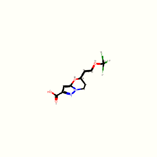 O=C(O)c1cc2n(n1)CCC(CCOC(F)(F)F)O2